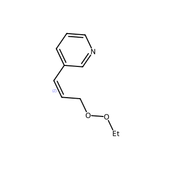 CCOOC/C=C\c1cccnc1